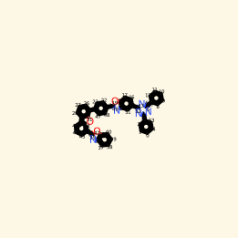 c1ccc(-c2nc(-c3ccccc3)nc(-c3ccc4oc(-c5ccc(-c6cccc7c6oc6c(-c8nc9ccccc9o8)cccc67)cc5)nc4c3)n2)cc1